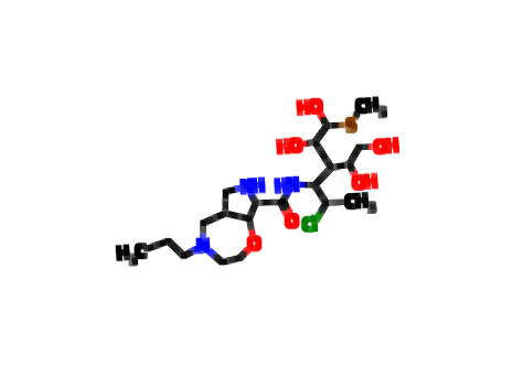 CCCN1CCOC2C(CNC2C(=O)NC(C(C)Cl)C(C(O)CO)C(O)C(O)SC)C1